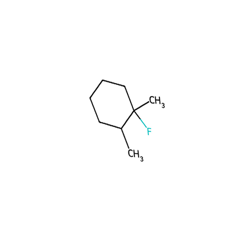 CC1CCCCC1(C)F